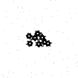 c1ccc(-n2c3ccccc3c3ccc(N(c4cccc5oc6c7ccccc7ccc6c45)c4cccc5sc6ccccc6c45)cc32)cc1